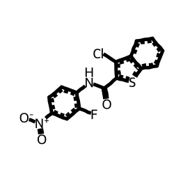 O=C(Nc1ccc([N+](=O)[O-])cc1F)c1sc2ccccc2c1Cl